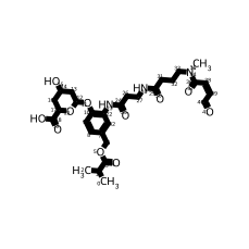 CC(C)C(=O)OCc1ccc(OC2CC(O)CC(C(=O)O)O2)c(NC(=O)CCNC(=O)CCCN(C)C(=O)/C=C\C=O)c1